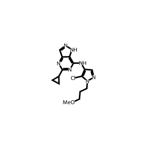 COCCCn1ncc(Nc2nc(C3CC3)nc3cn[nH]c23)c1Cl